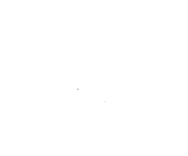 CC(C)(OP(=O)(O)O)C(=O)C1CCCCC1